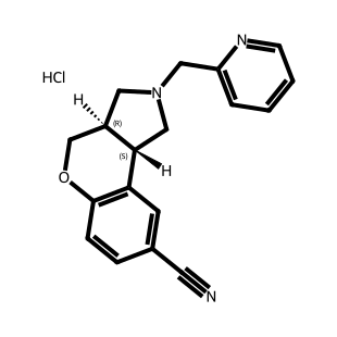 Cl.N#Cc1ccc2c(c1)[C@H]1CN(Cc3ccccn3)C[C@@H]1CO2